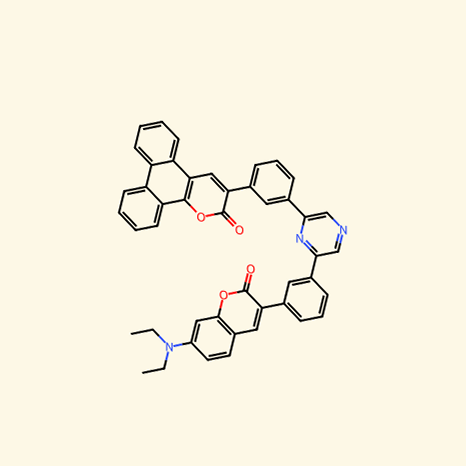 CCN(CC)c1ccc2cc(-c3cccc(-c4cncc(-c5cccc(-c6cc7c8ccccc8c8ccccc8c7oc6=O)c5)n4)c3)c(=O)oc2c1